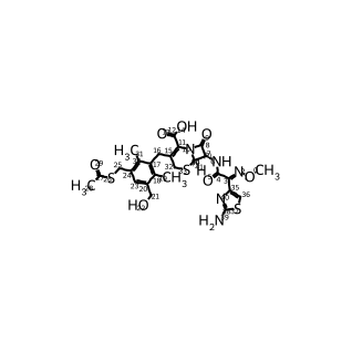 CON=C(C(=O)N[C@@H]1C(=O)N2C(C(=O)O)=C(Cc3c(C)c(CO)cc(CSC(C)=O)c3C)CS[C@H]12)c1csc(N)n1